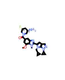 COc1cc(C(=O)N2C[C@H](N)C[C@@H](F)C2)cc2nc(-c3cc4cnn(C5CC5)c4n3CC3CC3)n(C)c12